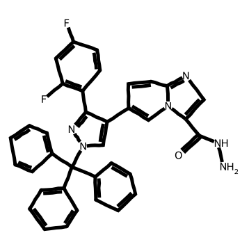 NNC(=O)c1cnc2ccc(-c3cn(C(c4ccccc4)(c4ccccc4)c4ccccc4)nc3-c3ccc(F)cc3F)cn12